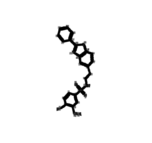 CC(C)c1ccc(S(=O)(=O)NCCc2ccc3sc(-c4ccccc4)nc3c2)cc1C(=O)O